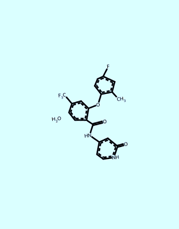 Cc1cc(F)ccc1Oc1cc(C(F)(F)F)ccc1C(=O)Nc1cc[nH]c(=O)c1.O